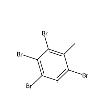 Cc1c(Br)[c]c(Br)c(Br)c1Br